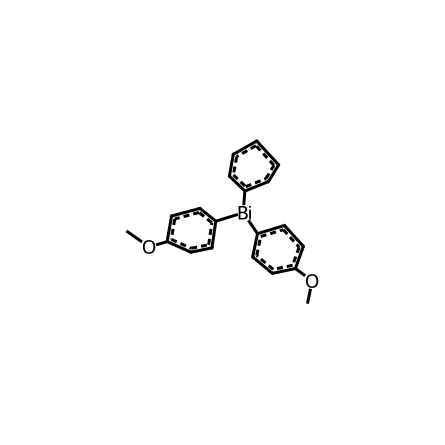 COc1cc[c]([Bi]([c]2ccccc2)[c]2ccc(OC)cc2)cc1